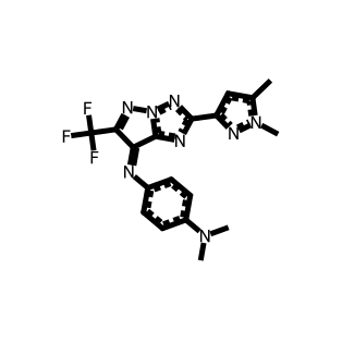 Cc1cc(-c2nc3n(n2)N=C(C(F)(F)F)/C3=N/c2ccc(N(C)C)cc2)nn1C